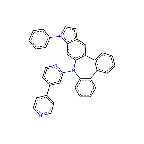 c1ccc(-n2ccc3cc4c(cc32)N(c2cc(-c3ccncc3)ccn2)c2ccccc2-c2ccccc2-4)cc1